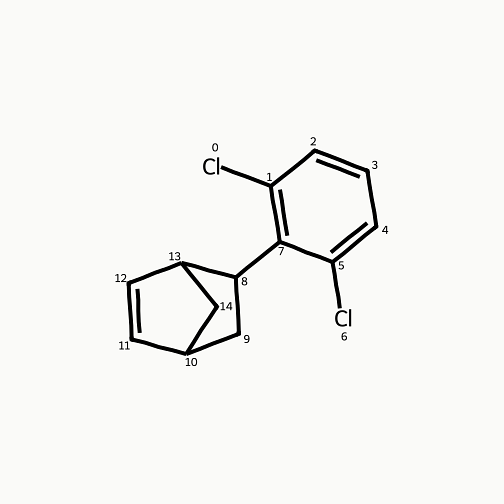 Clc1cccc(Cl)c1C1CC2C=CC1C2